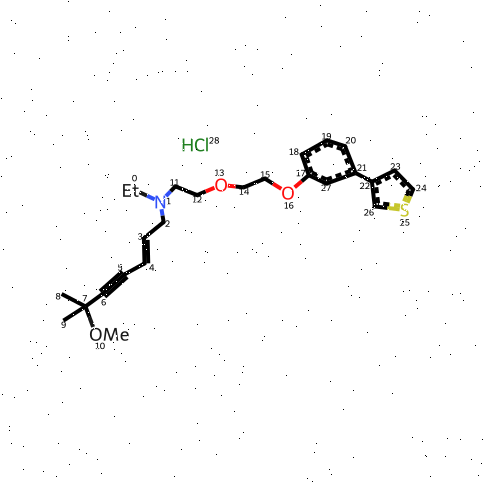 CCN(CC=CC#CC(C)(C)OC)CCOCCOc1cccc(-c2ccsc2)c1.Cl